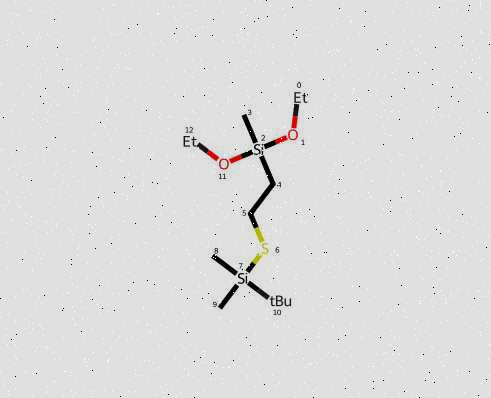 CCO[Si](C)(CCS[Si](C)(C)C(C)(C)C)OCC